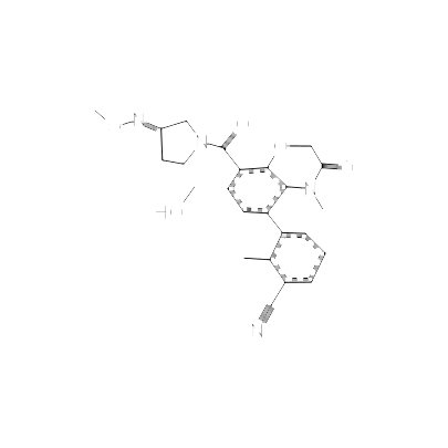 CO/N=C1\C[C@@H](CO)N(C(=O)c2ccc(-c3cccc(C#N)c3C)c3c2OCC(=O)N3C)C1